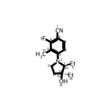 CC[C@@H]1N(c2ccc(C#N)c(F)c2C)CC[C@@]1(O)CC